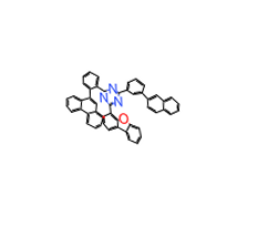 c1cc(-c2ccc3ccccc3c2)cc(-c2nc(-c3ccccc3-c3cc4ccccc4c4ccccc34)nc(-c3cccc4c3oc3ccccc34)n2)c1